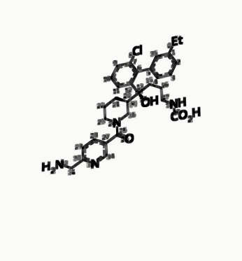 CCc1cccc(-c2c(Cl)cccc2[C@](O)(CCCNC(=O)O)[C@@H]2CCCN(C(=O)c3ccc(CN)nc3)C2)c1